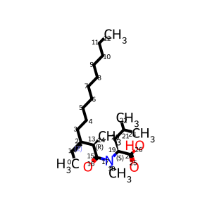 C/C=C(/CCCCCCCCCC)[C@@H](C)C(=O)N(C)[C@@H](CC(C)C)C(=O)O